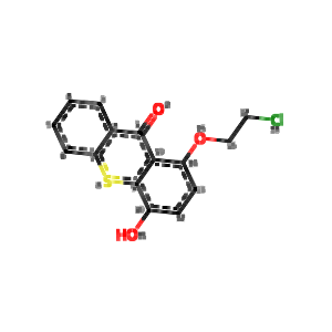 O=c1c2ccccc2sc2c(O)ccc(OCCCl)c12